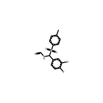 Cc1ccc(S(=O)(=O)C(NC=O)c2ccc(F)c(Cl)c2)cc1